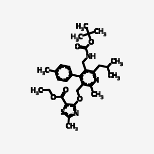 CCOC(=O)c1sc(C)nc1OCc1c(C)nc(CC(C)C)c(CNC(=O)OC(C)(C)C)c1-c1ccc(C)cc1